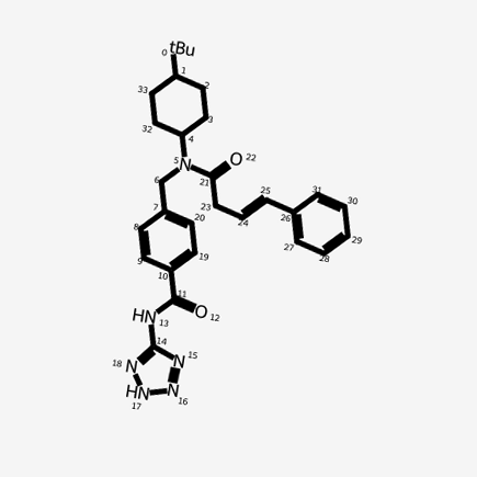 CC(C)(C)C1CCC(N(Cc2ccc(C(=O)Nc3nn[nH]n3)cc2)C(=O)C/C=C/c2ccccc2)CC1